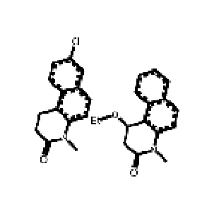 CCOC1CC(=O)N(C)c2ccc3ccccc3c21.CN1C(=O)CCc2c1ccc1cc(Cl)ccc21